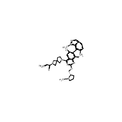 C=CC(=O)N1CC2(CCN(c3nc(OC[C@@H]4CCCN4C)nc4c(F)c(-c5c(C)ccc6cnn(C)c56)c(Cl)cc34)C2)C1